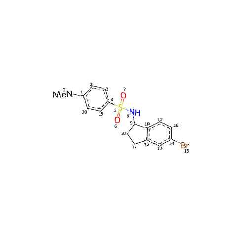 CNc1ccc(S(=O)(=O)NC2CCc3cc(Br)ccc32)cc1